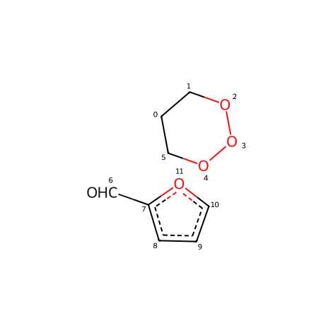 C1COOOC1.O=Cc1ccco1